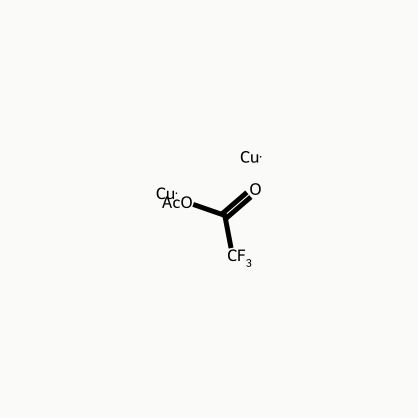 CC(=O)OC(=O)C(F)(F)F.[Cu].[Cu]